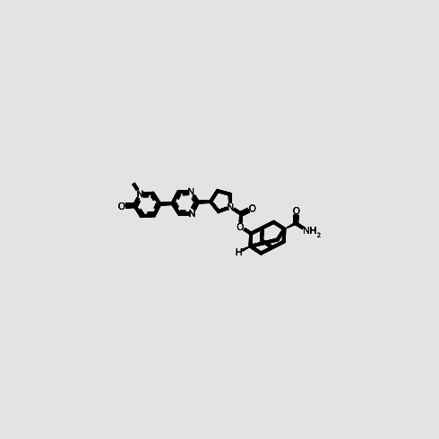 Cn1cc(-c2cnc(C3CCN(C(=O)OC4C5CC6C[C@H]4C[C@@](C(N)=O)(C6)C5)C3)nc2)ccc1=O